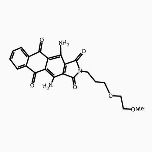 COCCOCCCn1c(=O)c2c(N)c3c(=O)c4ccccc4c(=O)c3c(N)c2c1=O